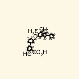 Cc1c(OCc2cccc(-c3ccc(O)c(C(=O)O)c3)c2)cc2c(c1C)C(=O)C(C1CCCC1)C2